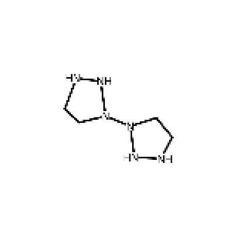 C1CN(N2CCNN2)NN1